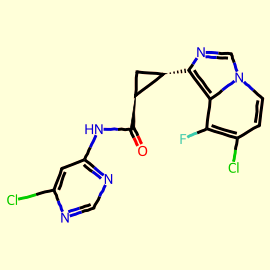 O=C(Nc1cc(Cl)ncn1)[C@H]1C[C@@H]1c1ncn2ccc(Cl)c(F)c12